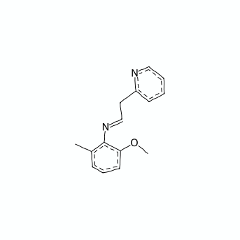 COc1cccc(C)c1N=CCc1ccccn1